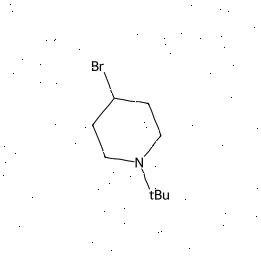 CC(C)(C)N1CCC(Br)CC1